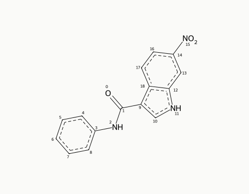 O=C(Nc1ccccc1)c1c[nH]c2cc([N+](=O)[O-])ccc12